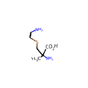 CC(N)(CS/C=C\N)C(=O)O